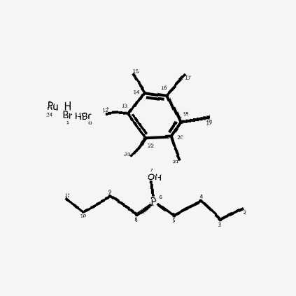 Br.Br.CCCCP(O)CCCC.Cc1c(C)c(C)c(C)c(C)c1C.[Ru]